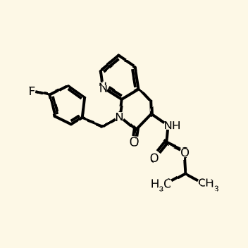 CC(C)OC(=O)NC1Cc2cccnc2N(Cc2ccc(F)cc2)C1=O